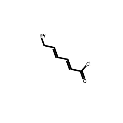 CC(C)C/C=C/C=C/C(=O)Cl